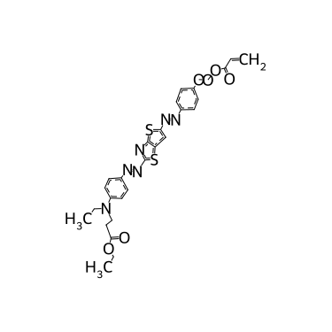 C=CC(=O)OOOc1ccc(N=Nc2cc3sc(N=Nc4ccc(N(CC)CCC(=O)OCC)cc4)nc3s2)cc1